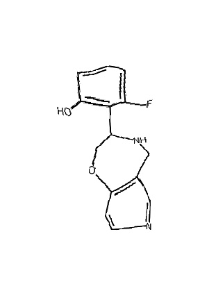 Oc1cccc(F)c1C1COc2ccncc2CN1